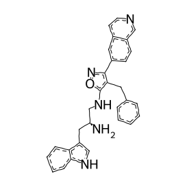 N[C@H](CNc1onc(-c2ccc3cnccc3c2)c1Cc1ccccc1)Cc1c[nH]c2ccccc12